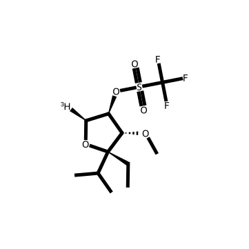 [3H][C@@H]1O[C@@](CC)(C(C)C)[C@@H](OC)[C@@H]1OS(=O)(=O)C(F)(F)F